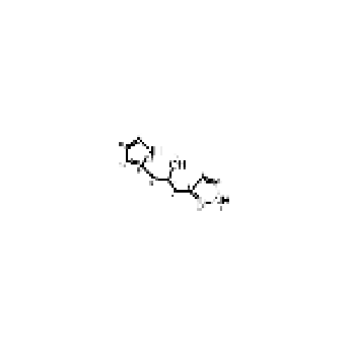 OC(Cc1cc[nH]n1)Cc1ccc[nH]1